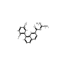 NC(N)=NC(=O)c1ccc2cccc(-c3cc(Cl)ccc3F)c2c1